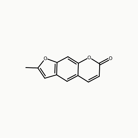 Cc1cc2cc3ccc(=O)oc3cc2o1